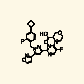 O=C(O)[C@H]1COCCN1c1nc(-c2cc(-c3ccon3)n(Cc3ccc(C4CCC4)cc3F)n2)ncc1F